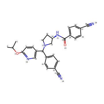 CC(C)Oc1ccc(C(c2ccc(C#N)cc2)N2CC[C@@H](NC(=O)c3ccc(C#N)cc3)C2)cn1